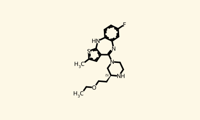 CCOCC[C@H]1CN(C2=Nc3cc(F)ccc3Nc3sc(C)cc32)CCN1